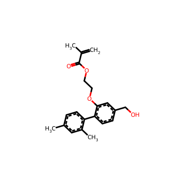 C=C(C)C(=O)OCCOc1cc(CO)ccc1-c1ccc(C)cc1C